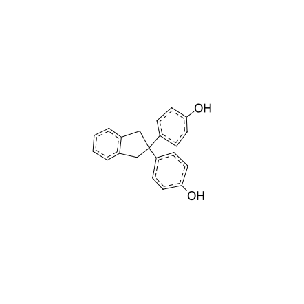 Oc1ccc(C2(c3ccc(O)cc3)Cc3ccccc3C2)cc1